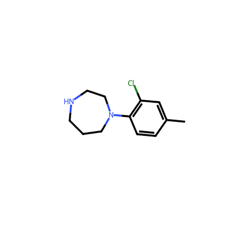 Cc1ccc(N2CCCNCC2)c(Cl)c1